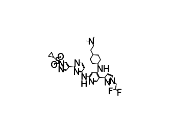 CN(C)CCC1CCC(Nc2cc(Nc3ccnc(-c4cnn(S(=O)(=O)C5CC5)c4)n3)ncc2-c2ccn(CC(F)F)n2)CC1